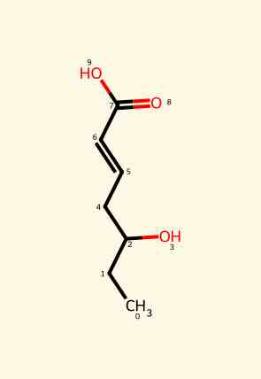 CCC(O)CC=CC(=O)O